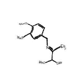 COc1ccc(C/N=C(\C)C(OC)OC)cc1OC